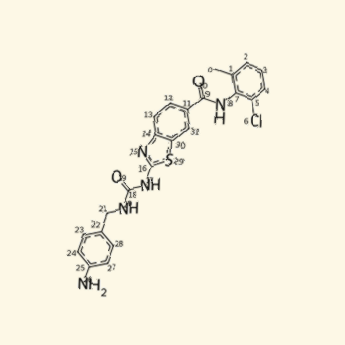 Cc1cccc(Cl)c1NC(=O)c1ccc2nc(NC(=O)NCc3ccc(N)cc3)sc2c1